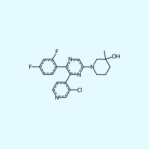 CC1(O)CCCN(c2cnc(-c3ccc(F)cc3F)c(-c3ccncc3Cl)n2)C1